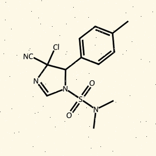 Cc1ccc(C2N(S(=O)(=O)N(C)C)C=NC2(Cl)C#N)cc1